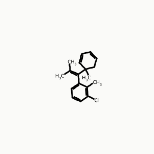 CC(C)=C(c1cccc(Cl)c1C)C1(C)C=CC=CC1